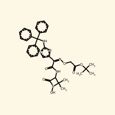 CC(C)(C)OC(=O)CON=C(C(=O)NC1C(=O)N(O)C1(C)C)c1csc(NC(c2ccccc2)(c2ccccc2)c2ccccc2)n1